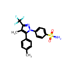 Cc1ccc(-c2c(C)c(C(F)(F)F)nn2-c2ccc(S(N)(=O)=O)cc2)cc1